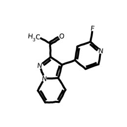 CC(=O)c1nn2ccccc2c1-c1ccnc(F)c1